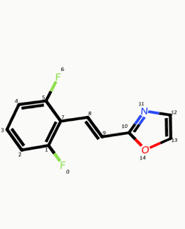 Fc1cccc(F)c1C=Cc1ncco1